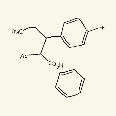 CC(=O)C(C(=O)O)C(CC=O)c1ccc(F)cc1.c1ccccc1